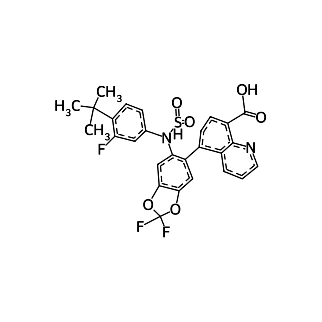 CC(C)(C)c1ccc(N(c2cc3c(cc2-c2ccc(C(=O)O)c4ncccc24)OC(F)(F)O3)[SH](=O)=O)cc1F